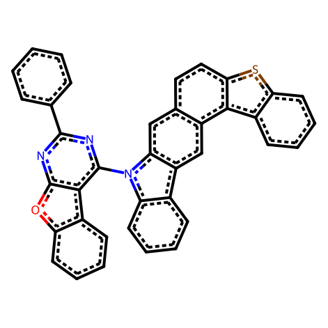 c1ccc(-c2nc(-n3c4ccccc4c4cc5c(ccc6sc7ccccc7c65)cc43)c3c(n2)oc2ccccc23)cc1